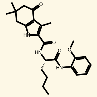 CCCC[C@H](NC(=O)c1[nH]c2c(c1C)C(=O)CC(C)(C)C2)C(=O)Nc1ccccc1OC